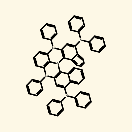 c1ccc(N2c3cccc4c3B(c3c2cc(N(c2ccccc2)c2ccccc2)c2ccccc32)c2c(cc(N(c3ccccc3)c3ccccc3)c3ccccc23)N4c2ccccc2)cc1